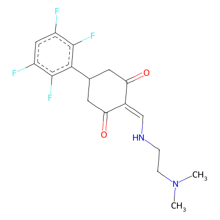 CN(C)CCNC=C1C(=O)CC(c2c(F)c(F)cc(F)c2F)CC1=O